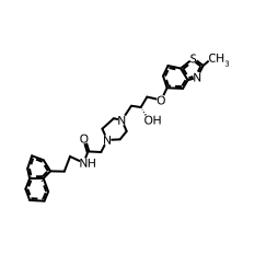 Cc1nc2cc(OC[C@H](O)CN3CCN(CC(=O)NCCc4cccc5ccccc45)CC3)ccc2s1